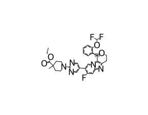 CCOC(=O)C1(C)CCN(c2ncc(-c3cn4c5c(nc4cc3F)CCO[C@@H]5c3ccccc3OC(F)F)cn2)CC1